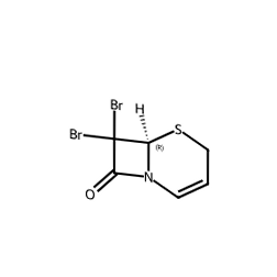 O=C1N2C=CCS[C@@H]2C1(Br)Br